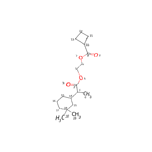 CC(C(=O)OCCOC(=O)C1CCC1)C1CCCC(C)(C)C1